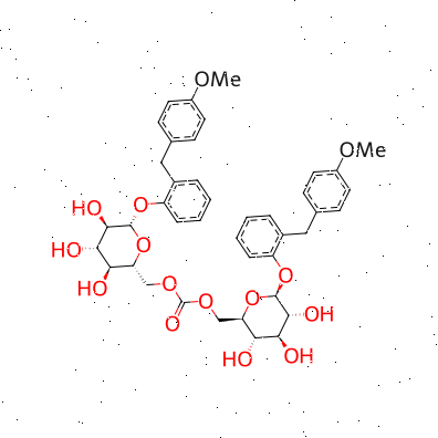 COc1ccc(Cc2ccccc2O[C@@H]2O[C@H](COC(=O)OC[C@H]3O[C@@H](Oc4ccccc4Cc4ccc(OC)cc4)[C@H](O)[C@@H](O)[C@@H]3O)[C@@H](O)[C@H](O)[C@H]2O)cc1